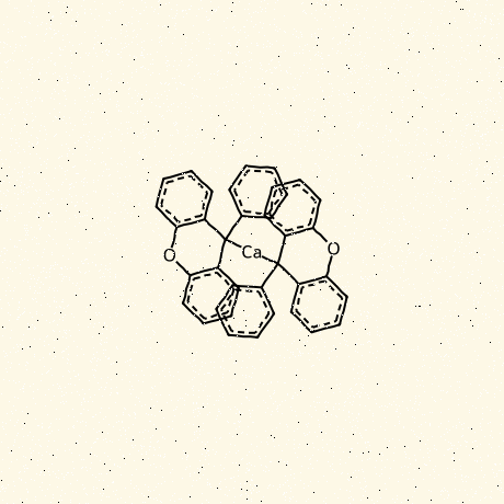 c1ccc([C]2([Ca][C]3(c4ccccc4)c4ccccc4Oc4ccccc43)c3ccccc3Oc3ccccc32)cc1